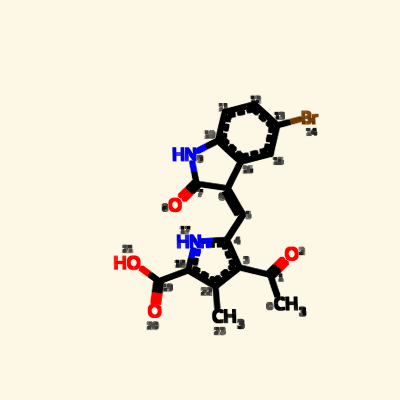 CC(=O)c1c(/C=C2\C(=O)Nc3ccc(Br)cc32)[nH]c(C(=O)O)c1C